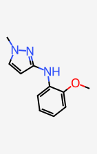 COc1ccccc1Nc1ccn(C)n1